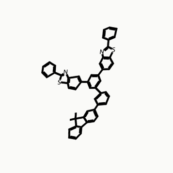 CC1(C)c2ccccc2-c2ccc(-c3cccc(-c4cc(-c5ccc6sc(-c7ccccc7)nc6c5)cc(-c5ccc6sc(-c7ccccc7)nc6c5)c4)c3)cc21